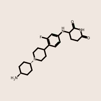 N[C@H]1CC[C@H](N2CCC(c3ccc(NC4CCC(=O)NC4=O)cc3F)CC2)CC1